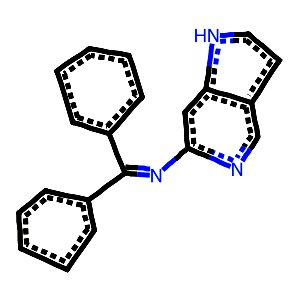 c1ccc(C(=Nc2cc3[nH]ccc3cn2)c2ccccc2)cc1